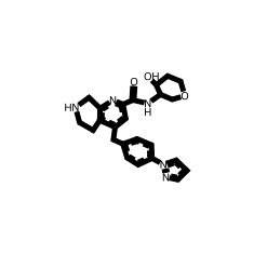 O=C(NC1COCCC1O)c1cc(Cc2ccc(-n3cccn3)cc2)c2c(n1)CNCC2